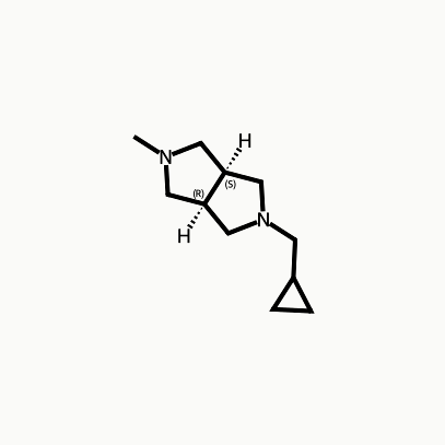 CN1C[C@@H]2CN(CC3CC3)C[C@@H]2C1